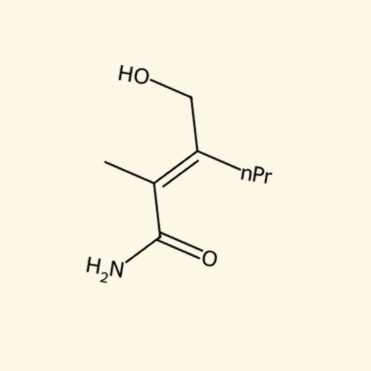 CCCC(CO)=C(C)C(N)=O